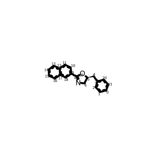 c1ccc(C[C@H]2CN=C(c3ccc4ccccc4c3)O2)cc1